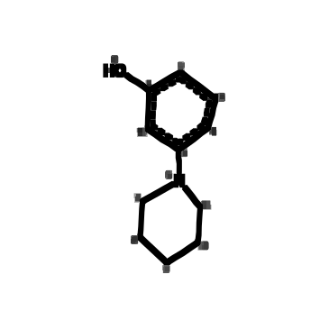 Oc1c[c]cc(N2CCCCC2)c1